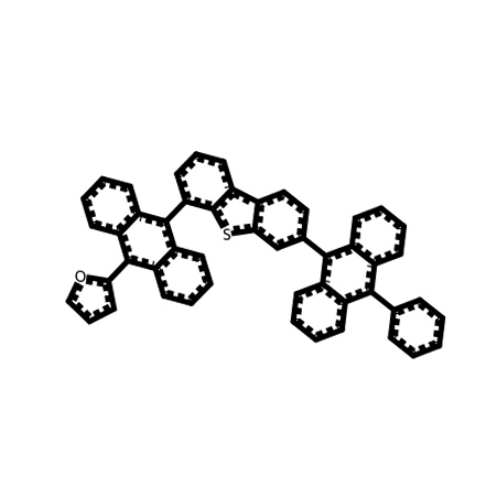 c1ccc(-c2c3ccccc3c(-c3ccc4c(c3)sc3c(-c5c6ccccc6c(-c6ccco6)c6ccccc56)cccc34)c3ccccc23)cc1